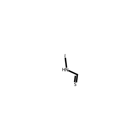 S=CNI